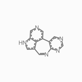 C1=Nc2ncncc2-c2cncc3[nH]cc1c23